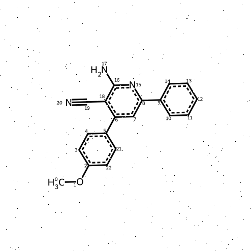 COc1ccc(-c2cc(-c3ccccc3)nc(N)c2C#N)cc1